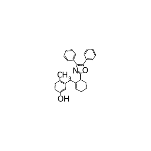 Cc1ccc(O)cc1CC1=CCCCC1c1nc(-c2ccccc2)c(-c2ccccc2)o1